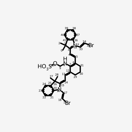 CC1(C)C(/C=C/C2=C(NCOS(=O)(=O)O)C(=C/C=C3/N(/C=C/Br)c4ccccc4C3(C)C)/CCC2)=[N+](/C=C/Br)c2ccccc21